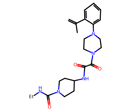 C=C(C)c1ccccc1N1CCN(C(=O)C(=O)NC2CCN(C(=O)NCC)CC2)CC1